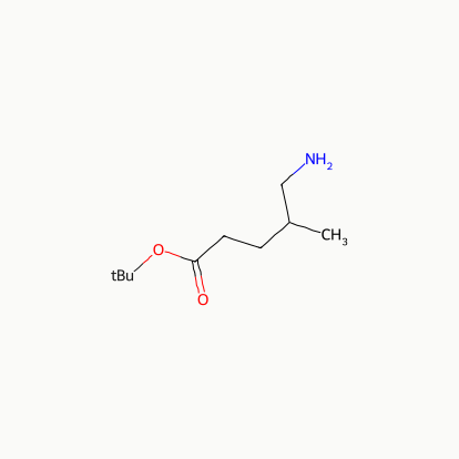 CC(CN)CCC(=O)OC(C)(C)C